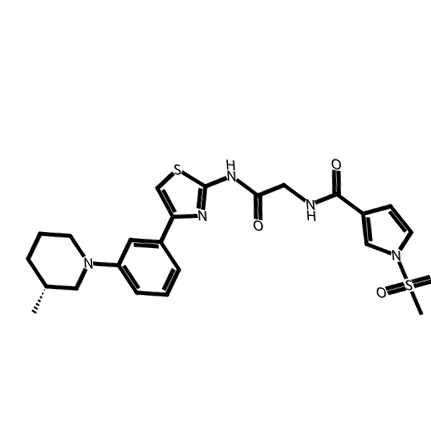 C[C@@H]1CCCN(c2cccc(-c3csc(NC(=O)CNC(=O)c4ccn(S(C)(=O)=O)c4)n3)c2)C1